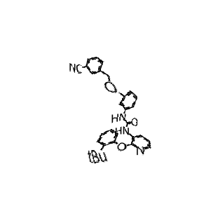 CC(C)(C)c1ccccc1Oc1ncccc1NC(=O)Nc1cccc(OCc2cccc(C#N)c2)c1